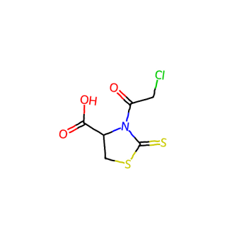 O=C(O)C1CSC(=S)N1C(=O)CCl